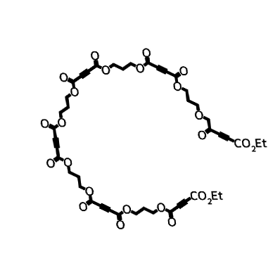 CCOC(=O)C#CC(=O)COCCCOC(=O)C#CC(=O)OCCCOC(=O)C#CC(=O)OCCCOC(=O)C#CC(=O)OCCCOC(=O)C#CC(=O)OCCCOC(=O)C#CC(=O)OCC